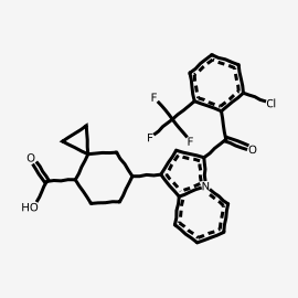 O=C(c1c(Cl)cccc1C(F)(F)F)c1cc(C2CCC(C(=O)O)C3(CC3)C2)c2ccccn12